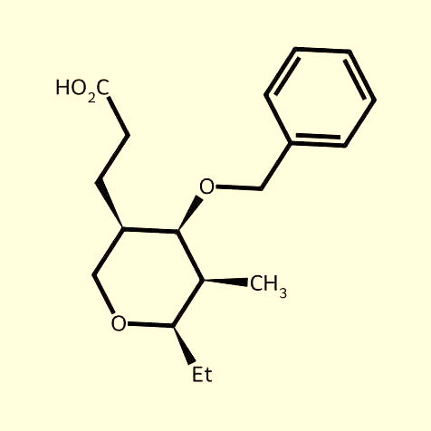 CC[C@H]1OC[C@@H](CCC(=O)O)[C@@H](OCc2ccccc2)[C@H]1C